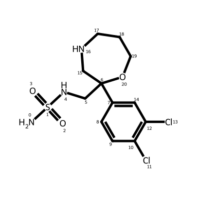 NS(=O)(=O)NCC1(c2ccc(Cl)c(Cl)c2)CNCCCO1